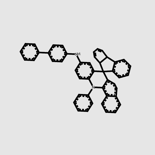 C1=CC2c3ccccc3C3(c4cc(Nc5ccc(-c6ccccc6)cc5)ccc4N(c4ccccc4)c4c3ccc3ccccc43)C2C=C1